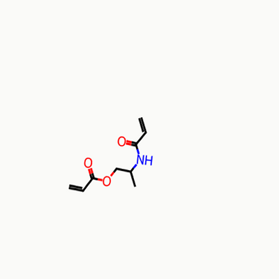 C=CC(=O)NC(C)COC(=O)C=C